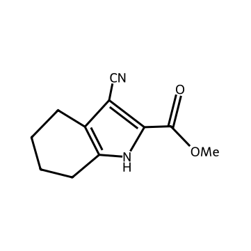 COC(=O)c1[nH]c2c(c1C#N)CCCC2